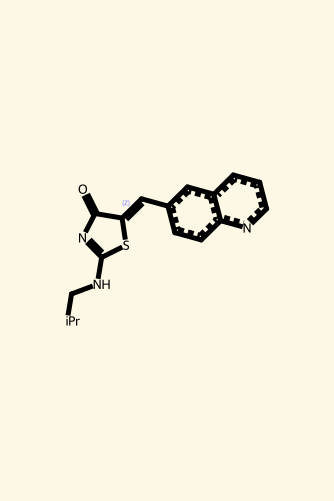 CC(C)CNC1=NC(=O)/C(=C/c2ccc3ncccc3c2)S1